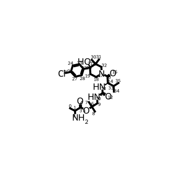 CC(N)C(=O)OC(C)(C)CNC(=O)N[C@@H](C(=O)N1CC[C@](O)(c2ccc(Cl)cc2)C(C)(C)C1)C(C)C